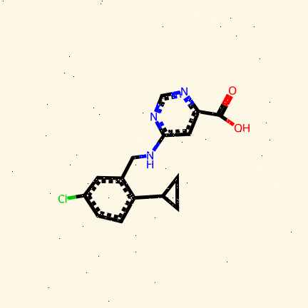 O=C(O)c1cc(NCc2cc(Cl)ccc2C2CC2)ncn1